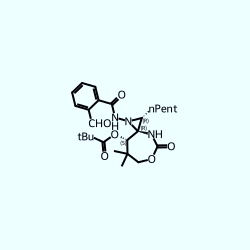 CCCCC[C@H]1N(NC(=O)c2ccccc2C=O)[C@]12NC(=O)OCC(C)(C)[C@@H]2OC(=O)C(C)(C)C